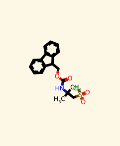 CC(C)(CS(=O)(=O)Cl)NC(=O)OCC1c2ccccc2-c2ccccc21